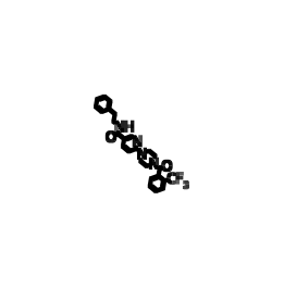 O=C(NCCc1ccccc1)c1ccc(N2CCN(C(=O)c3ccccc3C(F)(F)F)CC2)nc1